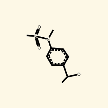 CC([O])c1ccc(N(C)S(C)(=O)=O)cc1